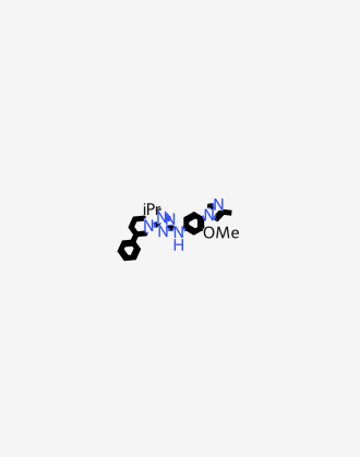 COc1cc(Nc2nc(N3CCCC(c4ccccc4)C3)n(C(C)C)n2)ccc1-n1cnc(C)c1